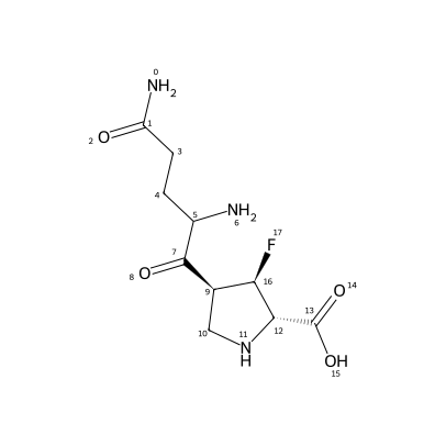 NC(=O)CCC(N)C(=O)[C@@H]1CN[C@@H](C(=O)O)[C@@H]1F